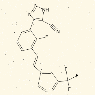 N#Cc1[nH]nnc1-c1cccc(/C=C/c2cccc(C(F)(F)F)c2)c1F